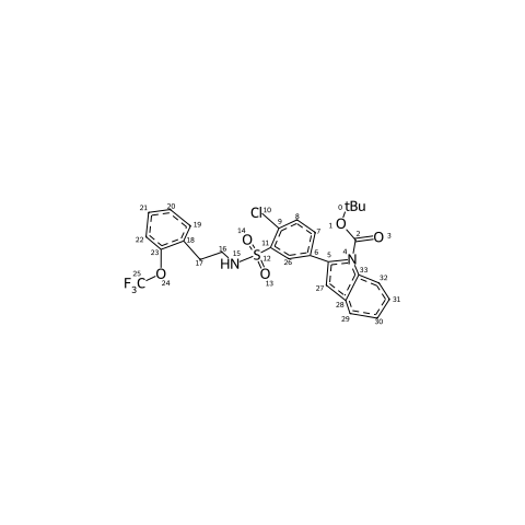 CC(C)(C)OC(=O)n1c(-c2ccc(Cl)c(S(=O)(=O)NCCc3ccccc3OC(F)(F)F)c2)cc2ccccc21